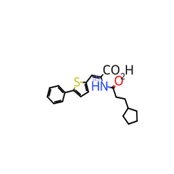 O=C(CCC1CCCC1)N/C(=C\c1ccc(-c2ccccc2)s1)C(=O)O